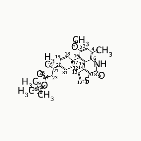 COc1cc(C)c2[nH]c(=O)c3sccc3c2c1-c1ccc([C@H](C)CC(=O)OC(C)(C)C)cc1